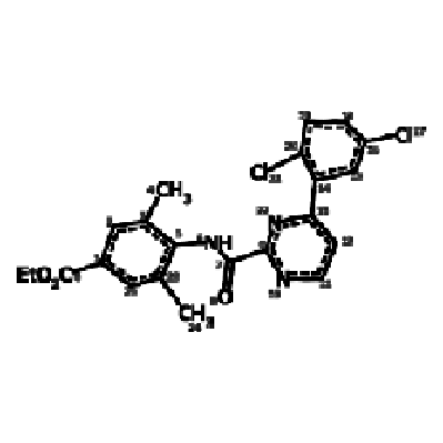 CCOC(=O)c1cc(C)c(NC(=O)c2nccc(-c3cc(Cl)ccc3Cl)n2)c(C)c1